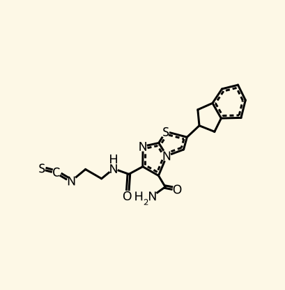 NC(=O)c1c(C(=O)NCCN=C=S)nc2sc(C3Cc4ccccc4C3)cn12